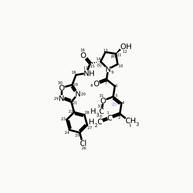 C=C=C(C)/C=C(/CC(=O)N1C[C@H](O)C[C@H]1C(=O)NCc1nc(-c2ccc(Cl)cc2)no1)OC